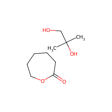 CC(C)(O)CO.O=C1CCCCCO1